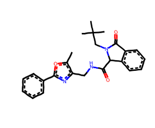 Cc1oc(-c2ccccc2)nc1CNC(=O)C1c2ccccc2C(=O)N1CC(C)(C)C